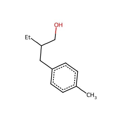 CCC(CO)Cc1ccc(C)cc1